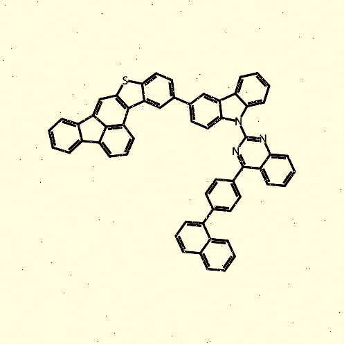 c1ccc2c(c1)-c1cccc3c1c-2cc1sc2ccc(-c4ccc5c(c4)c4ccccc4n5-c4nc(-c5ccc(-c6cccc7ccccc67)cc5)c5ccccc5n4)cc2c13